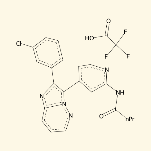 CCCC(=O)Nc1cc(-c2c(-c3cccc(Cl)c3)nc3cccnn23)ccn1.O=C(O)C(F)(F)F